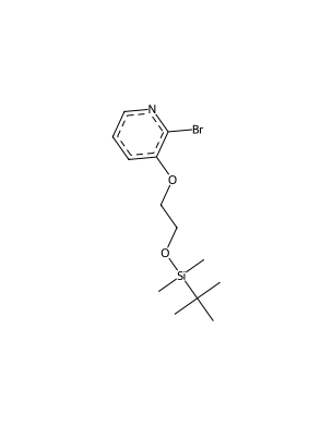 CC(C)(C)[Si](C)(C)OCCOc1cccnc1Br